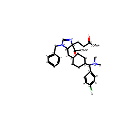 COC(=O)CCC1(C(=O)OC)N=CN(Cc2ccccc2)C1CC1CCC(C(c2ccc(Cl)cc2)N(C)C)CC1